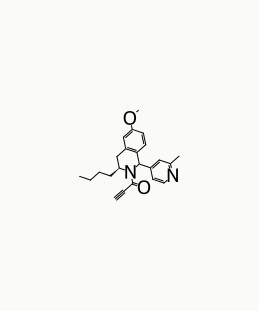 C#CC(=O)N1C(c2ccnc(C)c2)c2ccc(OC)cc2C[C@@H]1CCCC